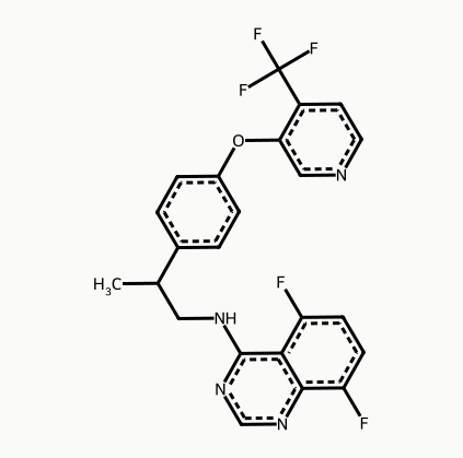 CC(CNc1ncnc2c(F)ccc(F)c12)c1ccc(Oc2cnccc2C(F)(F)F)cc1